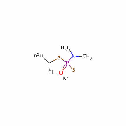 CCCCC(C)SP(=O)([S-])N(C)C.[K+]